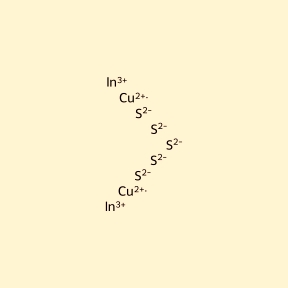 [Cu+2].[Cu+2].[In+3].[In+3].[S-2].[S-2].[S-2].[S-2].[S-2]